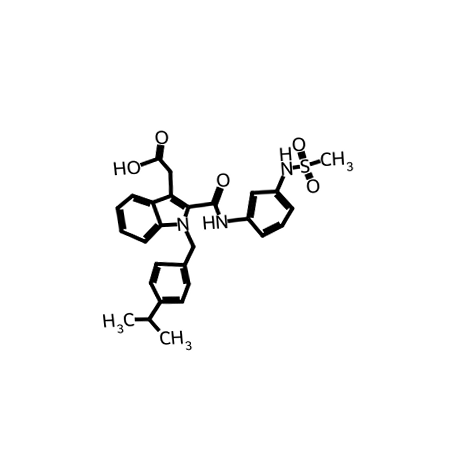 CC(C)c1ccc(Cn2c(C(=O)Nc3cccc(NS(C)(=O)=O)c3)c(CC(=O)O)c3ccccc32)cc1